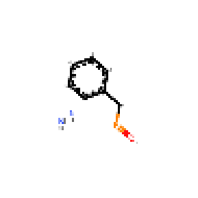 O=PCc1ccccc1.[N].[N]